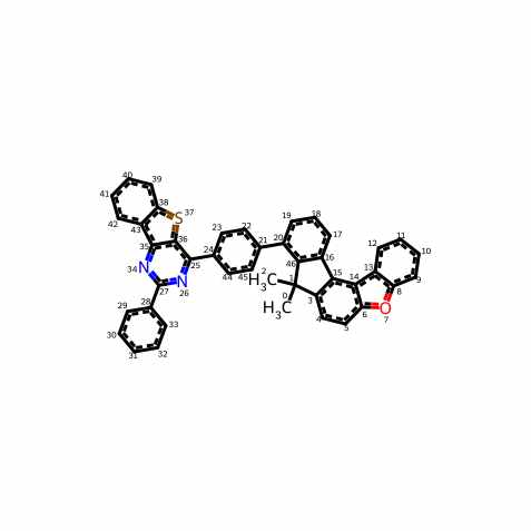 CC1(C)c2ccc3oc4ccccc4c3c2-c2cccc(-c3ccc(-c4nc(-c5ccccc5)nc5c4sc4ccccc45)cc3)c21